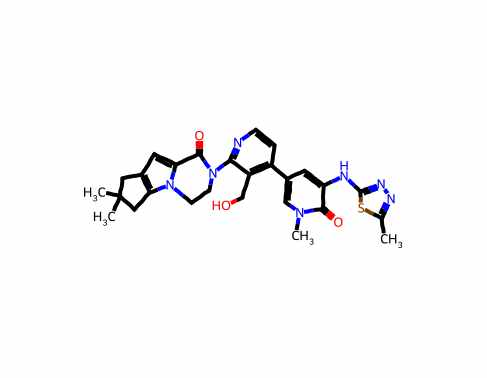 Cc1nnc(Nc2cc(-c3ccnc(N4CCn5c(cc6c5CC(C)(C)C6)C4=O)c3CO)cn(C)c2=O)s1